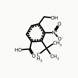 CC(C)(C)c1c(C(=O)O)ccc(CO)c1[N+](=O)[O-]